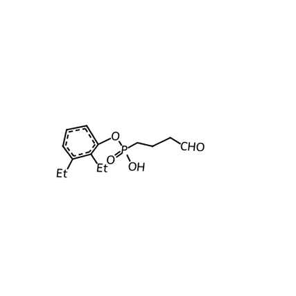 CCc1cccc(OP(=O)(O)CCCC=O)c1CC